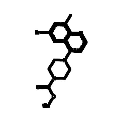 Cc1cc(Br)cc2c(N3CCN(C(=O)OC(C)(C)C)CC3)ccnc12